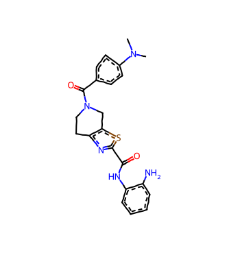 CN(C)c1ccc(C(=O)N2CCc3nc(C(=O)Nc4ccccc4N)sc3C2)cc1